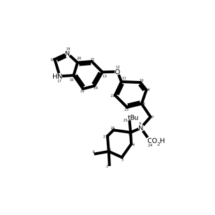 CC1(C)CCC(N(Cc2ccc(Oc3ccc4[nH]cnc4c3)cc2)C(=O)O)(C(C)(C)C)CC1